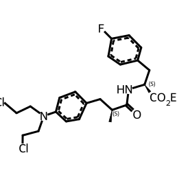 CCOC(=O)[C@H](Cc1ccc(F)cc1)NC(=O)[C@@H](C)Cc1ccc(N(CCCl)CCCl)cc1